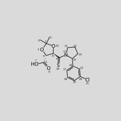 CC1(C)O[C@@H](C(=O)O)[C@H](C(=S)N2CCCC2c2cccc(Cl)c2)O1